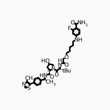 Cc1ncsc1-c1ccc([C@@H](C)NC(=O)[C@H]2CC(O)CN2C(=O)[C@H](NC(=O)COCCCCCNc2ccc(C(N)=O)c(F)c2)C(C)(C)C)cc1